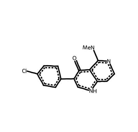 CNc1nccc2[nH]cc(-c3ccc(Cl)cc3)c(=O)c12